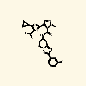 Cn1ncc(-c2nc(C(F)F)c(C3CC3)s2)c1C(=O)NC1CCn2nc(-c3cccc(F)c3)nc2C1